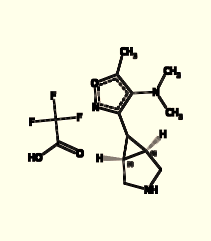 Cc1onc(C2[C@H]3CNC[C@@H]23)c1N(C)C.O=C(O)C(F)(F)F